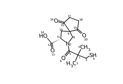 CC(C)(CS)C(=O)N1CC2(C[C@H]1C(=O)O)C(=O)CCC2=O